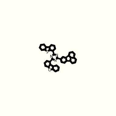 c1cc2c3c(cccc3c1)-c1cc(-c3nc(-c4cccc5c4sc4ccccc45)nc(-c4cccc5oc6ccccc6c45)n3)ccc1-2